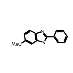 COc1ccc2nc(-c3ccccc3)sc2c1